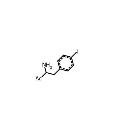 CC(=O)C(N)Cc1ccc(I)cc1